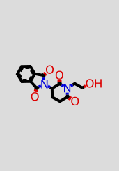 O=C1CCC(N2C(=O)c3ccccc3C2=O)C(=O)N1CCO